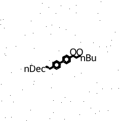 CCCCCCCCCCCCc1ccc(-c2ccc(C(=O)CC(=O)CCCC)cc2)cc1